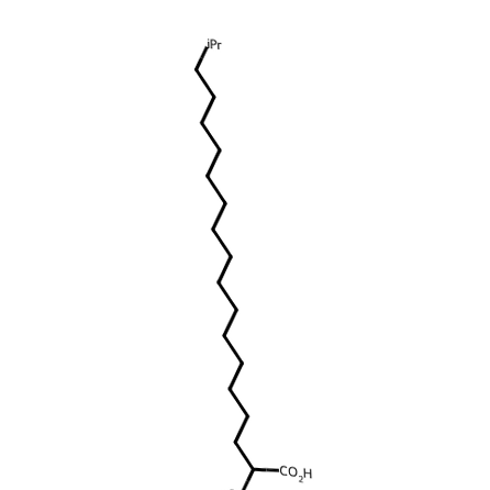 CCCCC(CCCCCCCCCCCCCCCC(C)C)C(=O)O